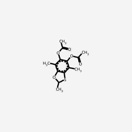 CC(=O)Oc1c(C)c2c(c(C)c1OC(C)=O)SC(C)O2